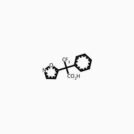 O=C(O)C(c1ccccc1)(c1ccno1)C(F)(F)F